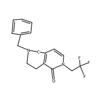 O=c1c2c(ccn1CC(F)(F)F)CN(Cc1ccccc1)CC2